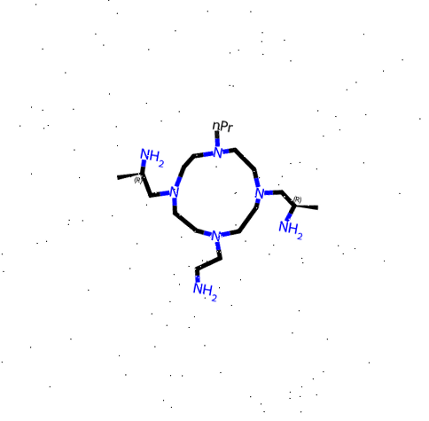 CCCN1CCN(C[C@@H](C)N)CCN(CCN)CCN(C[C@@H](C)N)CC1